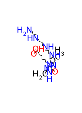 C=c1nc2c(c(=O)[nH]1)=Nc1cc(C)c(NCCCNCCCCNCCCN)cc1N2CCCCCCC(=O)O